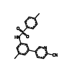 Cc1ccc(S(=O)(=O)Nc2cc(C)cc(-c3ccc(C#N)nc3)c2)cc1